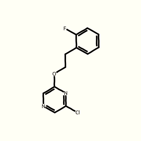 Fc1ccccc1CCOc1cncc(Cl)n1